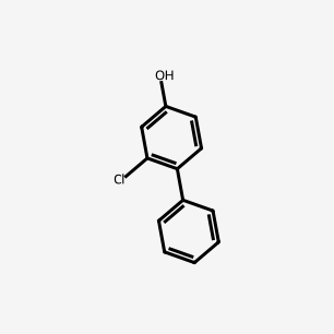 Oc1ccc(-c2ccccc2)c(Cl)c1